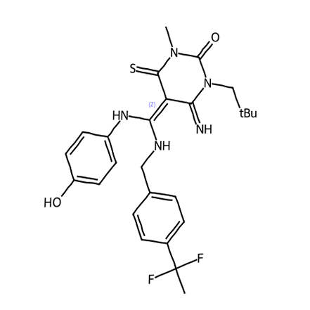 CN1C(=O)N(CC(C)(C)C)C(=N)/C(=C(\NCc2ccc(C(C)(F)F)cc2)Nc2ccc(O)cc2)C1=S